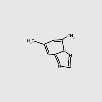 Cc1cc(C)n2ncnc2c1